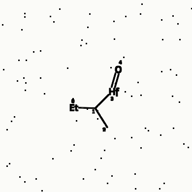 CC[CH](C)[Hf]=[O]